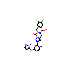 COC[C@H]1Cc2cc(-c3nc(Nc4ccnn4C)ncc3C)nn2C(=O)N1Cc1ccc(F)c(F)c1